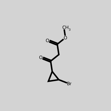 COC(=O)CC(=O)C1CC1Br